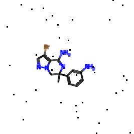 CC1(c2cccc(N)c2)Cn2ncc(Br)c2C(N)=N1